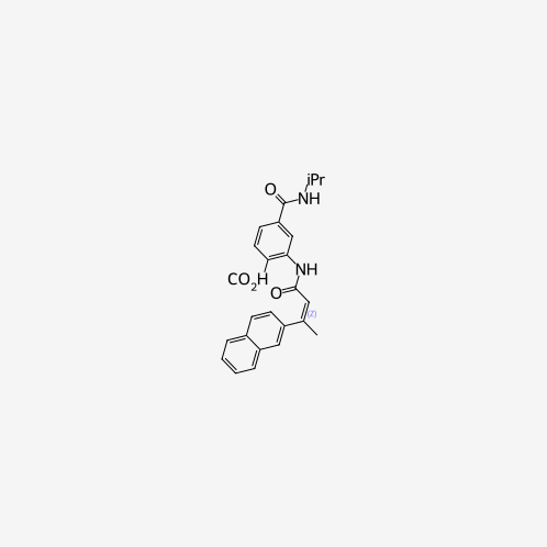 C/C(=C/C(=O)Nc1cc(C(=O)NC(C)C)ccc1C(=O)O)c1ccc2ccccc2c1